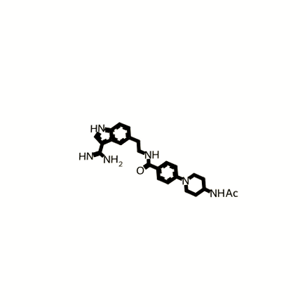 CC(=O)NC1CCN(c2ccc(C(=O)NCCc3ccc4[nH]cc(C(=N)N)c4c3)cc2)CC1